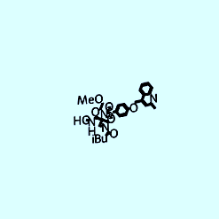 CCC(C)C(=O)N1CC(C(=O)NO)(N(CCOC)S(=O)(=O)c2ccc(OCc3cc(C)nc4ccccc34)cc2)C1